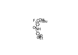 CCS(=O)(=O)c1ccc(CNC(=O)c2ccc(C(O)(CC(C)(C)C)C(F)(F)F)cc2)cc1